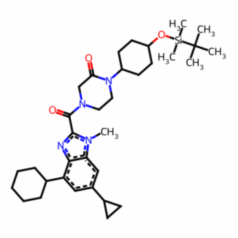 Cn1c(C(=O)N2CCN(C3CCC(O[Si](C)(C)C(C)(C)C)CC3)C(=O)C2)nc2c(C3CCCCC3)cc(C3CC3)cc21